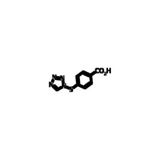 O=C(O)c1ccc(Sn2cnnn2)cc1